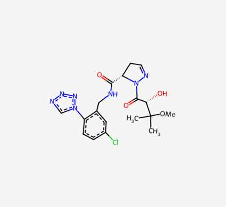 COC(C)(C)[C@@H](O)C(=O)N1N=CC[C@H]1C(=O)NCc1cc(Cl)ccc1-n1cnnn1